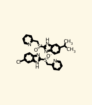 CC(C)c1ccc2nc([S+]([O-])Cc3ccccn3)[nH]c2c1.[O-][S+](Cc1ccccn1)c1nc2ccc(Cl)cc2[nH]1